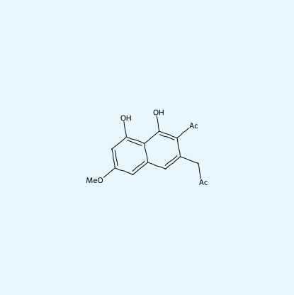 COc1cc(O)c2c(O)c(C(C)=O)c(CC(C)=O)cc2c1